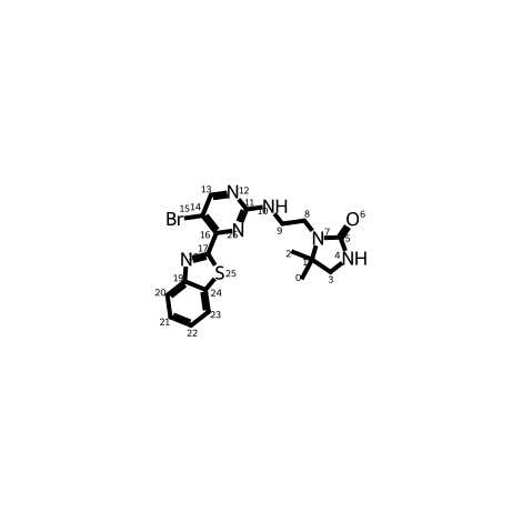 CC1(C)CNC(=O)N1CCNc1ncc(Br)c(-c2nc3ccccc3s2)n1